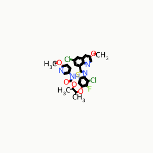 COc1cnc2c(-c3nc4c(Cl)c(F)c(O[C@@H](C)[C@@H](C)OC(=O)Nc5ccc(OC)nc5)cc4s3)cc(Cl)cc2c1